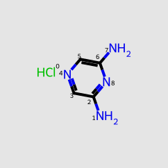 Cl.Nc1cncc(N)n1